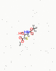 CCOC(=O)[C@@H]1SCC(NC(=O)OC(C)(C)C)C1O